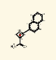 NC(=O)C12CN(C1)N(c1ccc3ccccc3c1)C2